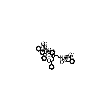 O=C(NCCC1C(=O)N(CP(C(=O)OCc2ccccc2[N+](=O)[O-])(c2ccccc2)(c2ccccc2)c2ccccc2)C1CC(=O)c1ccccc1)OCc1ccccc1[N+](=O)[O-]